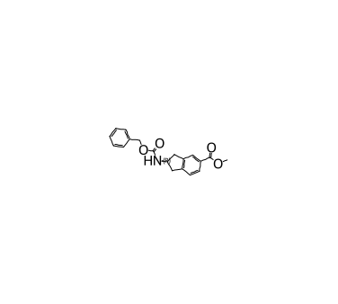 COC(=O)c1ccc2c(c1)C[C@H](NC(=O)OCc1ccccc1)C2